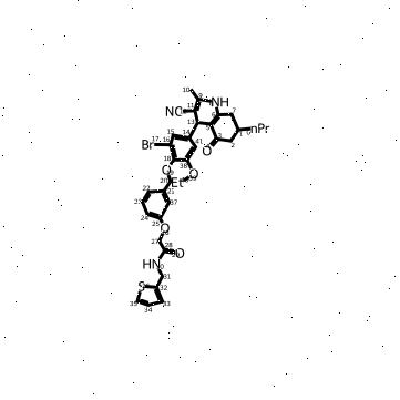 CCCC1CC(=O)C2=C(C1)NC(C)=C(C#N)C2c1cc(Br)c(OCc2cccc(OCC(=O)NCc3cccs3)c2)c(OCC)c1